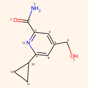 NC(=O)c1cc(CO)cc(C2CC2)n1